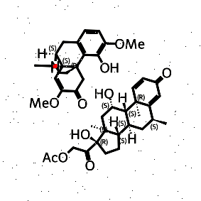 CC(=O)OCC(=O)[C@@]1(O)CC[C@H]2[C@@H]3C[C@H](C)C4=CC(=O)C=C[C@]4(C)[C@H]3[C@@H](O)C[C@@]21C.COC1=C[C@@H]2[C@@H]3Cc4ccc(OC)c(O)c4[C@]2(CCN3C)CC1=O